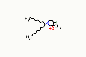 CCCCCCCC(CCCCCC)N1CCC(F)C(C)(O)C1